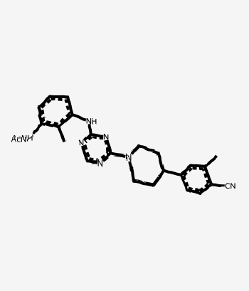 CC(=O)Nc1cccc(Nc2ncnc(N3CCC(c4ccc(C#N)c(C)c4)CC3)n2)c1C